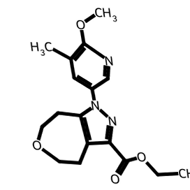 CCOC(=O)c1nn(-c2cnc(OC)c(C)c2)c2c1CCOCC2